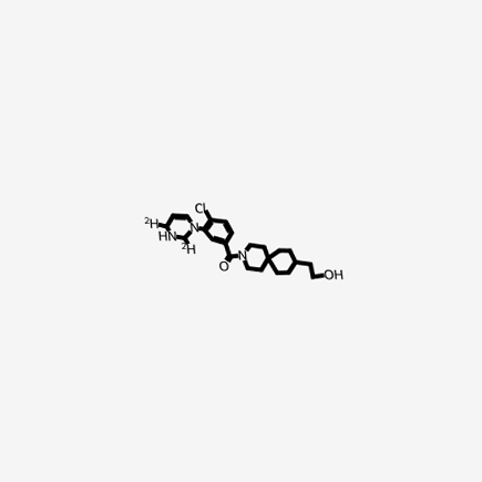 [2H]C1C=CN(c2cc(C(=O)N3CCC4(CCC(CCO)CC4)CC3)ccc2Cl)C([2H])N1